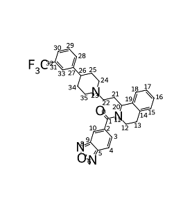 O=C(c1ccc2nonc2c1)N1CCc2ccccc2C1CCN1CCC(c2cccc(C(F)(F)F)c2)CC1